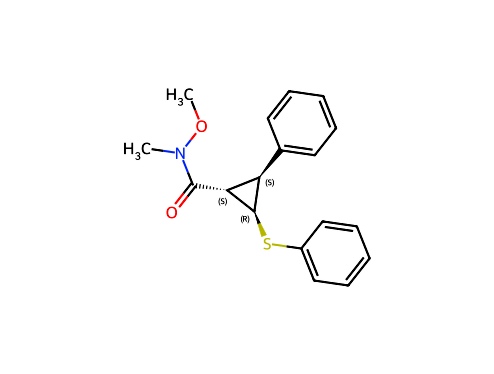 CON(C)C(=O)[C@H]1[C@H](Sc2ccccc2)[C@@H]1c1ccccc1